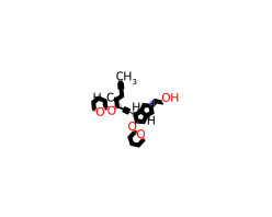 CC#CCC(C)[C@@H](C#C[C@@H]1[C@H]2C/C(=C/CO)C[C@H]2C[C@H]1OC1CCCCO1)OC1CCCCO1